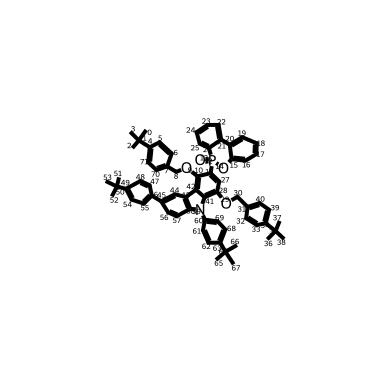 CC(C)(C)c1ccc(COc2c(P3(=O)Oc4ccccc4-c4ccccc43)cc(OCc3ccc(C(C)(C)C)cc3)c3c2c2cc(-c4ccc(C(C)(C)C)cc4)ccc2n3-c2ccc(C(C)(C)C)cc2)cc1